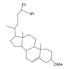 CCC(CCC(C)C1CCC2C3CC=C4CC(OC)CCC4(C)C3CCC12C)C(C)C